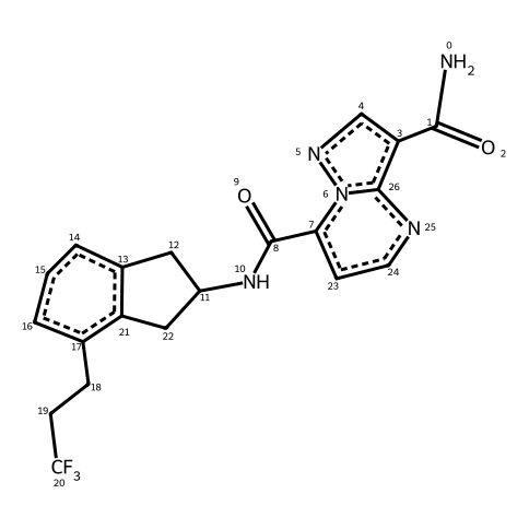 NC(=O)c1cnn2c(C(=O)NC3Cc4cccc(CCC(F)(F)F)c4C3)ccnc12